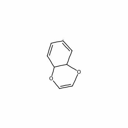 [C]1=CC2OC=COC2C=C1